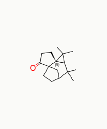 CC1(C)C2CCC3(C2)C(=O)CC[C@@]32C1C2(C)C